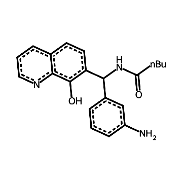 CCCCC(=O)NC(c1cccc(N)c1)c1ccc2cccnc2c1O